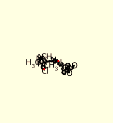 Cc1c(C#Cc2ccc(CN3CCC(CCc4cccc5c4C(=O)N(C4CCC(=O)NC4=O)C5=O)CC3)cn2)sc2c1C(c1ccc(Cl)cc1)=N[C@@H](C)c1nnc(C)n1-2